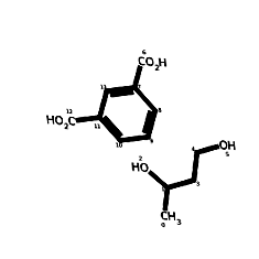 CC(O)CCO.O=C(O)c1cccc(C(=O)O)c1